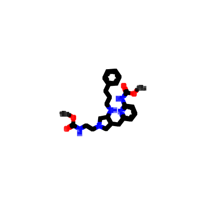 CC(C)(C)OC(=O)NCCN1CC(Cc2cccc(NC(=O)OC(C)(C)C)n2)C(NCCCc2ccccc2)C1